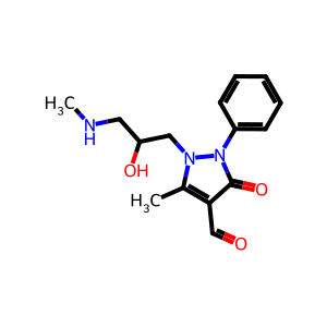 CNCC(O)Cn1c(C)c(C=O)c(=O)n1-c1ccccc1